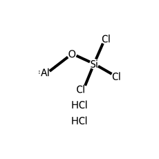 Cl.Cl.[Al][O][Si](Cl)(Cl)Cl